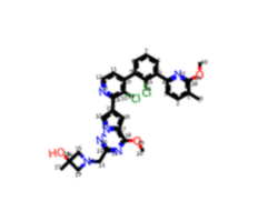 [CH2]c1ccc(-c2cccc(-c3ccnc(-c4cc5c(OC)nc(CN6CC(C)(O)C6)nn5c4)c3Cl)c2Cl)nc1OC